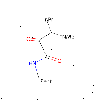 CCCC(C)NC(=O)C(=O)C(CCC)NC